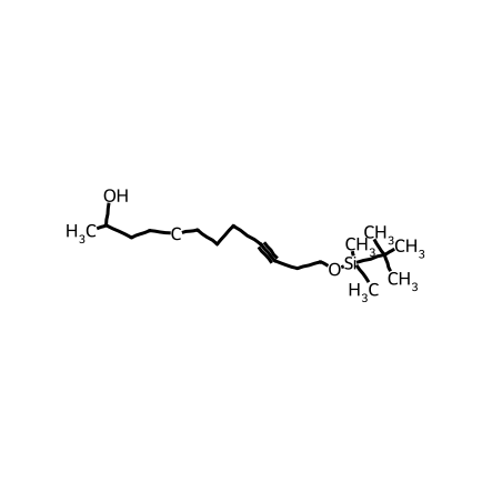 CC(O)CCCCCCC#CCCO[Si](C)(C)C(C)(C)C